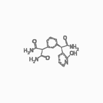 NC(=O)C(C(N)=O)c1cccc([C@@H](C(N)=O)c2cccnc2O)c1